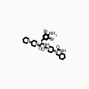 Nc1c(Br)cc(C[C@@H](NC(=O)N2CCC(N3CC4CCCCC4NC3=O)CC2)C(=O)N2CCC(N3CCCCC3)CC2)cc1Br